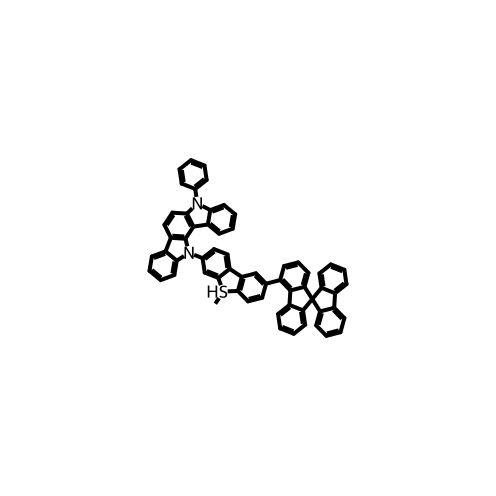 C[SH]1c2ccc(-c3cccc4c3-c3ccccc3C43c4ccccc4-c4ccccc43)cc2-c2ccc(-n3c4ccccc4c4ccc5c(c6ccccc6n5-c5ccccc5)c43)cc21